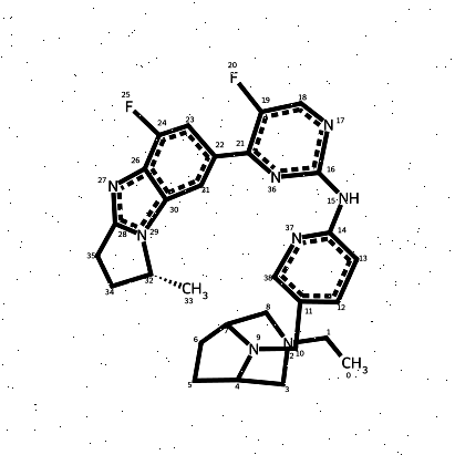 CCN1CC2CCC(C1)N2Cc1ccc(Nc2ncc(F)c(-c3cc(F)c4nc5n(c4c3)[C@H](C)CC5)n2)nc1